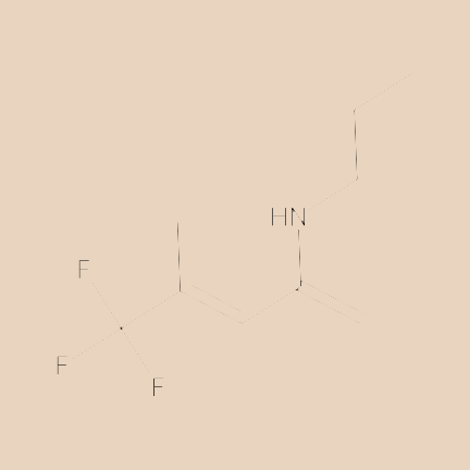 C=C(/C=C(\C)C(F)(F)F)NCCC